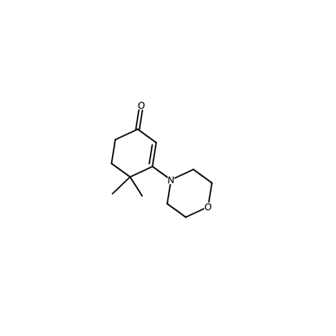 CC1(C)CCC(=O)C=C1N1CCOCC1